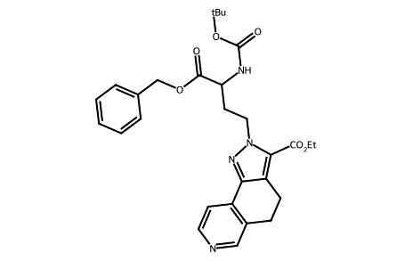 CCOC(=O)c1c2c(nn1CCC(NC(=O)OC(C)(C)C)C(=O)OCc1ccccc1)-c1ccncc1CC2